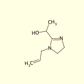 C=CCN1CCN=C1C(C)O